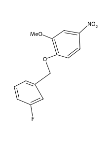 COc1cc([N+](=O)[O-])ccc1OCc1cccc(F)c1